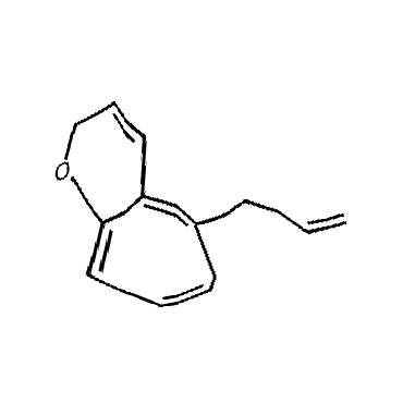 C=CCc1cccc2c1C=CCO2